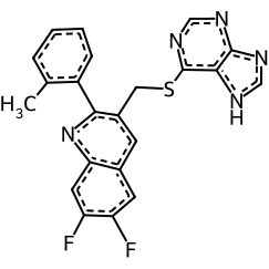 Cc1ccccc1-c1nc2cc(F)c(F)cc2cc1CSc1ncnc2nc[nH]c12